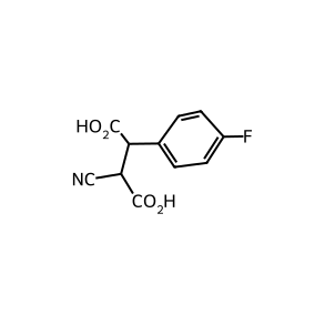 N#CC(C(=O)O)C(C(=O)O)c1ccc(F)cc1